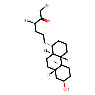 CC[C@H](CCC[C@@H]1CCC[C@H]2[C@H]1CC[C@H]1C[C@H](O)CC[C@@]12C)C(=O)CBr